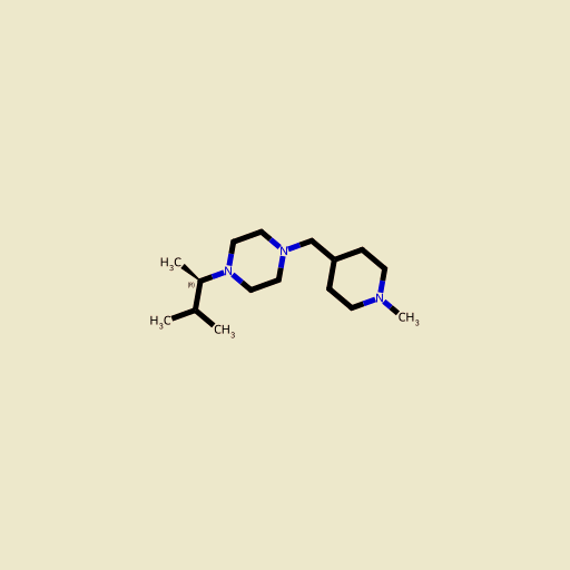 CC(C)[C@@H](C)N1CCN(CC2CCN(C)CC2)CC1